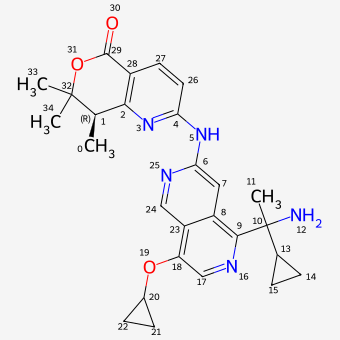 C[C@@H]1c2nc(Nc3cc4c(C(C)(N)C5CC5)ncc(OC5CC5)c4cn3)ccc2C(=O)OC1(C)C